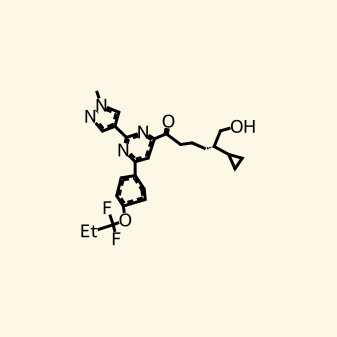 CCC(F)(F)Oc1ccc(-c2cc(C(=O)CCC[C@H](CO)C3CC3)nc(-c3cnn(C)c3)n2)cc1